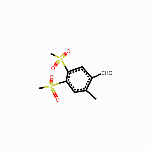 Cc1cc(S(C)(=O)=O)c(S(C)(=O)=O)cc1C=O